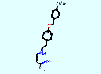 COc1ccc(COc2ccc(CCN/C=C\C(=N)C(F)(F)F)cc2)cc1